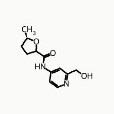 C[C@@H]1CCC(C(=O)Nc2ccnc(CO)c2)O1